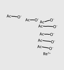 CC(=O)[O-].CC(=O)[O-].CC(=O)[O-].CC(=O)[O-].CC(=O)[O-].CC(=O)[O-].CC(=O)[O-].[Re+7]